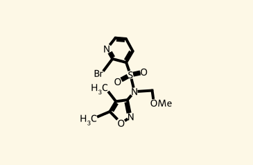 COCN(c1noc(C)c1C)S(=O)(=O)c1cccnc1Br